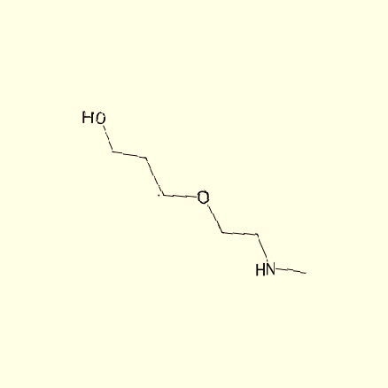 CNCCO[CH]CCO